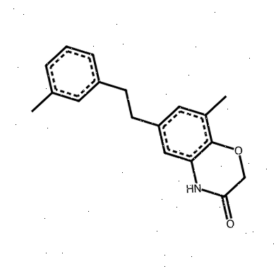 Cc1cccc(CCc2cc(C)c3c(c2)NC(=O)CO3)c1